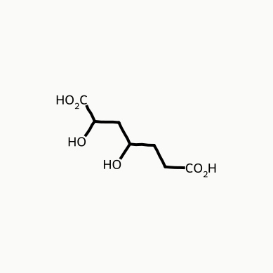 O=C(O)CCC(O)CC(O)C(=O)O